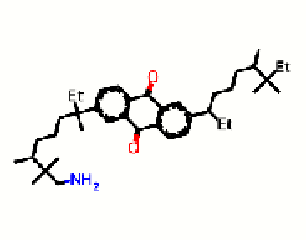 CCC(CCCC(C)C(C)(C)CC)c1ccc2c(c1)C(=O)c1ccc(C(C)(CC)CCCC(C)C(C)(C)CN)cc1C2=O